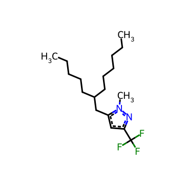 CCCCCCC(CCCCC)Cc1cc(C(F)(F)F)nn1C